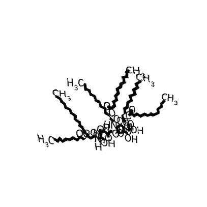 CCCCCCCCCCCCCC(=O)O[C@H](CCCCCCCCCCC)CC(=O)NC1[C@H]2O[C@@H]2C(CO[C@@H]2OC(CO)[C@@H](OP(=O)(O)O)C(OC(=O)C[C@@H](CCCCCCCCCCC)OC(=O)CCCCCCCCCCCCC)[C@@H]2NC(=O)C[C@@H](CCCCCCCCCCC)OC(=O)CCCCCCCCCCCCC)O[C@@H]1O